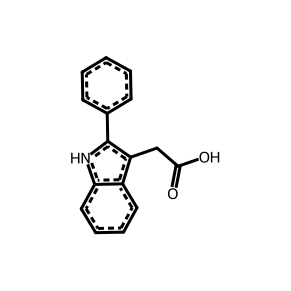 O=C(O)Cc1c(-c2ccccc2)[nH]c2ccccc12